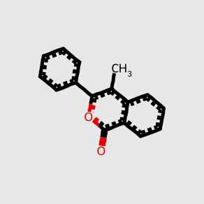 Cc1c(-c2ccccc2)oc(=O)c2ccccc12